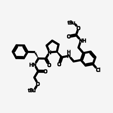 CC(C)(C)OCC(=O)N[C@H](Cc1ccccc1)C(=O)N1CCC[C@H]1C(=O)NCc1cc(Cl)ccc1CNC(=O)OC(C)(C)C